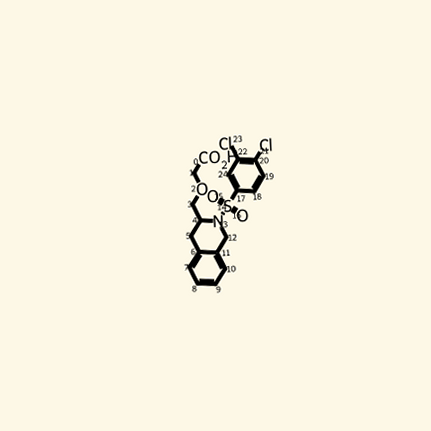 O=C(O)COCC1Cc2ccccc2CN1S(=O)(=O)c1ccc(Cl)c(Cl)c1